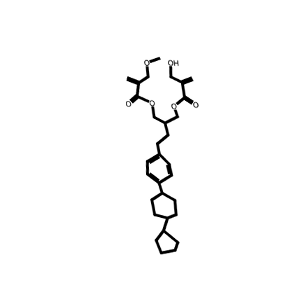 C=C(CO)C(=O)OCC(CCc1ccc(C2CCC(C3CCCC3)CC2)cc1)COC(=O)C(=C)COC